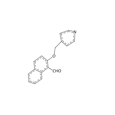 O=Cc1c(OCc2ccncc2)ccc2ccccc12